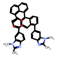 Cc1nc2ccc(-c3cccc4c(-c5cccc6cccc(-c7ccccc7)c56)c5cccc(-c6ccc7nc(C)n(C)c7c6)c5cc34)cc2n1C